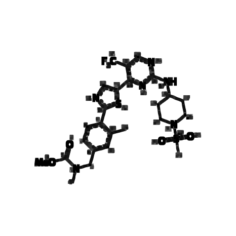 COC(=O)N(C)Cc1ccc(-c2ncc(-c3nc(NC4CCN(S(C)(=O)=O)CC4)ncc3C(F)(F)F)s2)c(C)c1